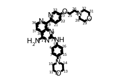 Nc1nc(Nc2ccc(N3CCOCC3)cc2)nc2c(-c3ccc(OCCN4CCOCC4)cn3)nccc12